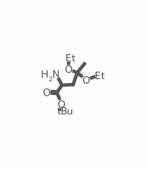 CCOC(C)(CC(N)C(=O)OC(C)(C)C)OCC